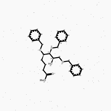 COC(=O)CCC[C@@H](OCc1ccccc1)[C@@H](OCc1ccccc1)[C@H](O)COCc1ccccc1